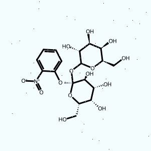 O=[N+]([O-])c1ccccc1O[C@@]1(OC2O[C@H](CO)[C@H](O)[C@H](O)[C@H]2O)O[C@@H](CO)[C@@H](O)[C@@H](O)[C@@H]1O